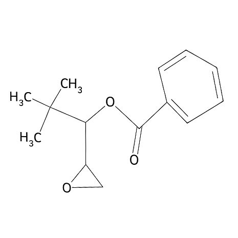 CC(C)(C)C(OC(=O)c1ccccc1)C1CO1